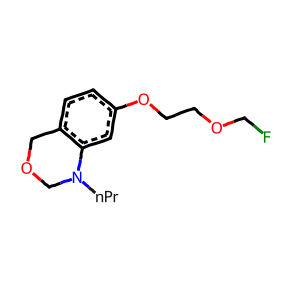 CCCN1COCc2ccc(OCCOCF)cc21